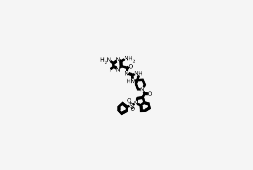 Nc1nc(N)c(C(=O)/N=C2\NCC3(CCN(C(=O)c4cn(S(=O)(=O)c5ccccc5)c5ccccc45)CC3)N2)nc1I